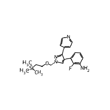 C[Si](C)(C)CCOCn1cc(-c2cccc(N)c2F)c(-c2ccncc2)n1